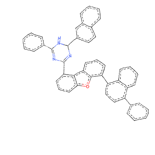 c1ccc(C2=NC(c3cccc4oc5c(-c6ccc(-c7ccccc7)c7ccccc67)cccc5c34)=NC(c3ccc4ccccc4c3)N2)cc1